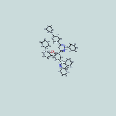 c1ccc(-c2ccc(-c3cc(-c4cc(-c5nc6ccccc6c6ccccc56)cc5c4oc4c(-c6ccccc6)cccc45)nc(-c4ccccc4)n3)cc2)cc1